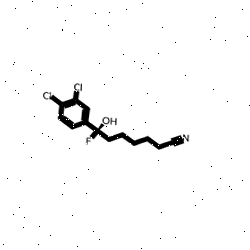 N#CCCCCC[C@](O)(F)c1ccc(Cl)c(Cl)c1